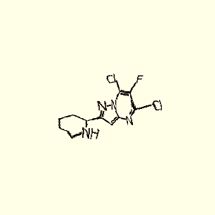 Fc1c(Cl)nc2cc([C@@H]3CCCCN3)nn2c1Cl